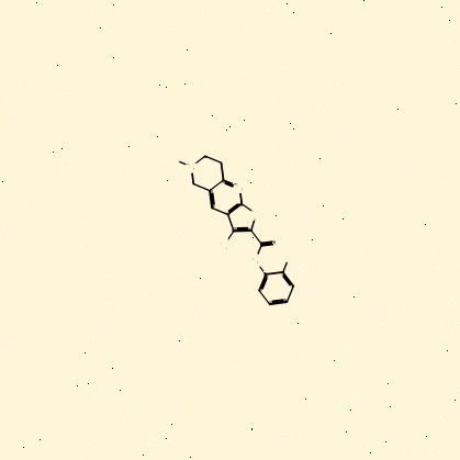 CCN1CCc2nc3sc(C(=O)Nc4ccccc4F)c(N)c3cc2C1